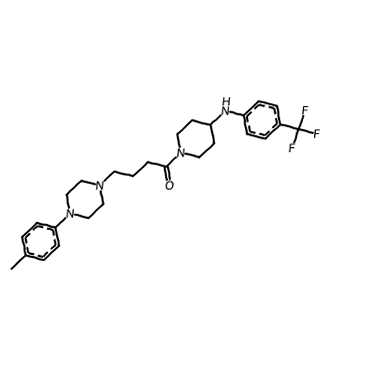 Cc1ccc(N2CCN(CCCC(=O)N3CCC(Nc4ccc(C(F)(F)F)cc4)CC3)CC2)cc1